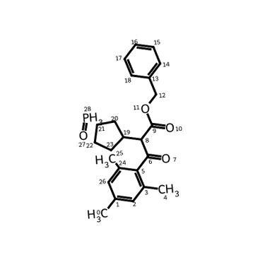 Cc1cc(C)c(C(=O)C(C(=O)OCc2ccccc2)C2CCCC2)c(C)c1.O=[PH3]